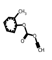 C#COC(=O)Oc1ccccc1C